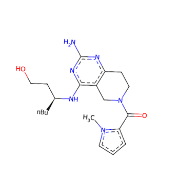 CCCC[C@@H](CCO)Nc1nc(N)nc2c1CN(C(=O)c1cccn1C)CC2